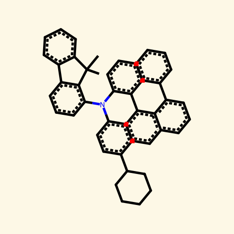 CC1(C)c2ccccc2-c2cccc(N(c3ccc(C4CCCCC4)cc3)c3ccccc3-c3cccc4cccc(-c5ccccc5)c34)c21